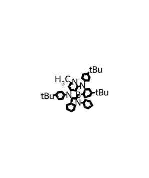 Cc1cc2c3c(n1)N(c1ccc(C(C)(C)C)cc1)c1cc(C(C)(C)C)ccc1B3c1c(c3ccccc3n1-c1ccccc1)N2c1ccc(C(C)(C)C)cc1